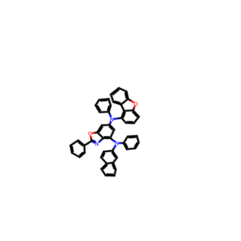 c1ccc(-c2nc3c(N(c4ccccc4)c4ccc5ccccc5c4)cc(N(c4ccccc4)c4cccc5oc6ccccc6c45)cc3o2)cc1